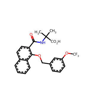 CC(C)(NC(=O)c1ccc2ccccc2c1OCc1cccc(OC(F)(F)F)c1)C(=O)O